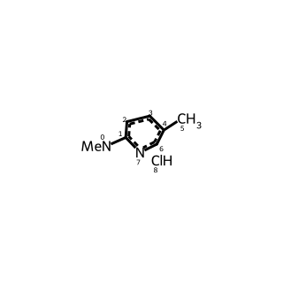 CNc1ccc(C)cn1.Cl